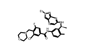 CCn1cc2ncc(N[C@@H](C)c3cc(NC(=O)c4cc(F)c(CN5CCOCC5)c(Cl)c4)ccc3C)nc2n1